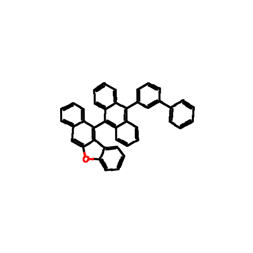 c1ccc(-c2cccc(-c3c4ccccc4c(-c4c5ccccc5cc5oc6ccccc6c45)c4ccccc34)c2)cc1